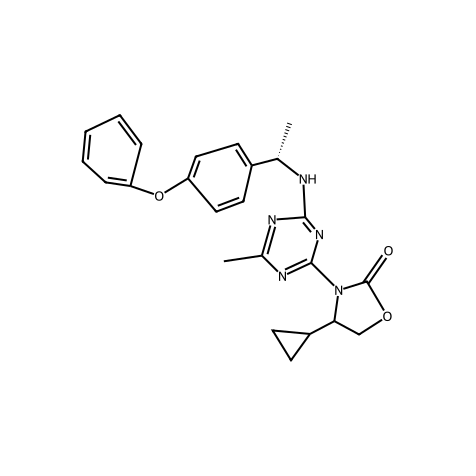 Cc1nc(N[C@@H](C)c2ccc(Oc3ccccc3)cc2)nc(N2C(=O)OCC2C2CC2)n1